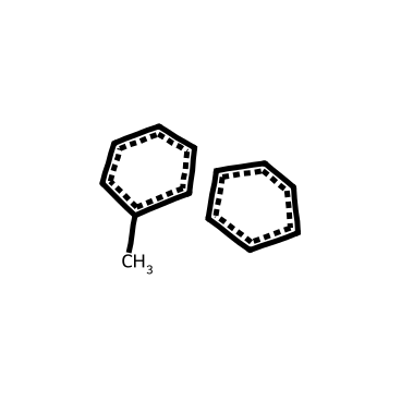 Cc1ccccc1.c1ccccc1